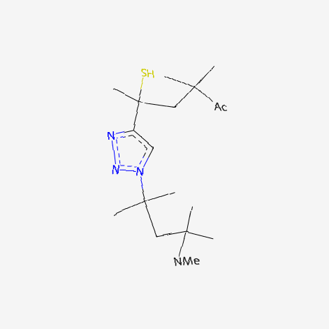 CNC(C)(C)CC(C)(C)n1cc(C(C)(S)CC(C)(C)C(C)=O)nn1